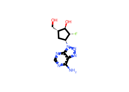 Nc1ncnc2c1nnn2[C@@H]1C[C@H](CO)[C@@H](O)[C@@H]1F